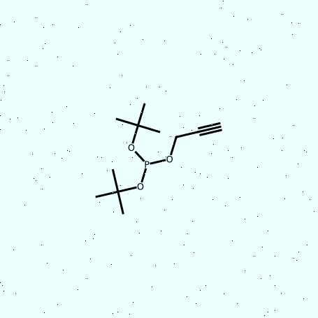 C#CCOP(OC(C)(C)C)OC(C)(C)C